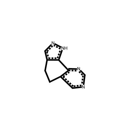 c1ncc2c(n1)-c1[nH]ncc1CC2